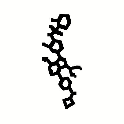 CC(C)n1nc(-c2ccc(NS(=O)(=O)c3ccccc3F)c(F)c2)c2c(N)ncc(C3=CCC(NC4COC4)CC3)c21